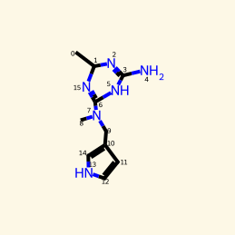 CC1N=C(N)NC(N(C)Cc2cc[nH]c2)=N1